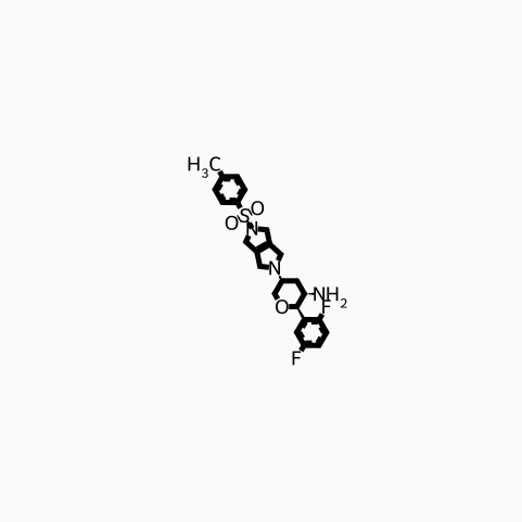 Cc1ccc(S(=O)(=O)N2CC3=C(CN([C@H]4CO[C@H](c5cc(F)ccc5F)[C@@H](N)C4)C3)C2)cc1